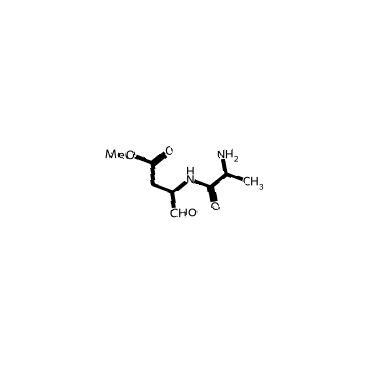 COC(=O)CC(C=O)NC(=O)C(C)N